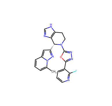 Cc1cccc2cc([C@@H]3c4nc[nH]c4CCN3c3nnc(-c4cccnc4F)o3)nn12